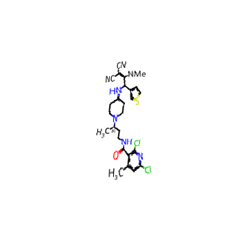 CNC(=C(C#N)C#N)C(NC1CCN([C@H](C)CCNC(=O)c2c(C)cc(Cl)nc2Cl)CC1)c1ccsc1